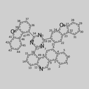 c1ccc2c(c1)ccc1c2cnc2cccc(-c3nc(-c4ccc5c(c4)oc4ccccc45)nc(-c4cccc5oc6ccccc6c45)n3)c21